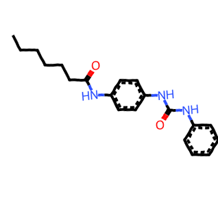 CCCCCCC(=O)Nc1ccc(NC(=O)Nc2ccccc2)cc1